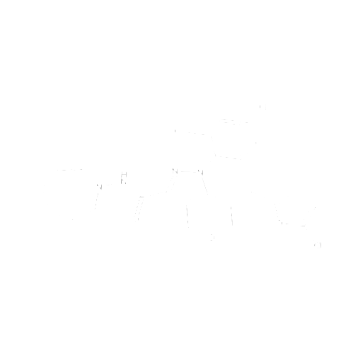 O=C(NN1CCCCCC1)c1nn(-c2ccc(Cl)cc2Cl)c2c1COC/C2=C\c1ccc(Cl)o1